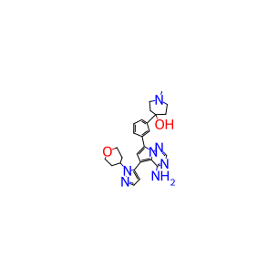 CN1CCC(O)(c2cccc(-c3cc(-c4ccnn4C4CCOCC4)c4c(N)ncnn34)c2)CC1